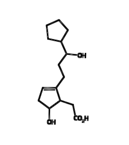 O=C(O)CC1C(CCC(O)C2CCCC2)=CCC1O